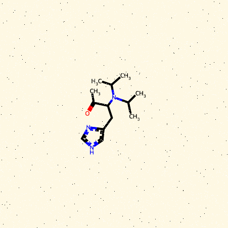 CC(=O)C(Cc1c[nH]cn1)N(C(C)C)C(C)C